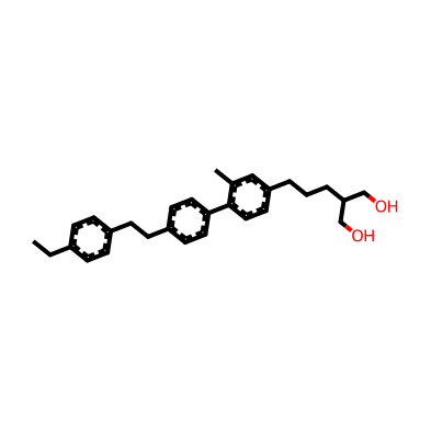 CCc1ccc(CCc2ccc(-c3ccc(CCCC(CO)CO)cc3C)cc2)cc1